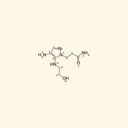 NC(=O)CCn1ncc(N)c1NCCO